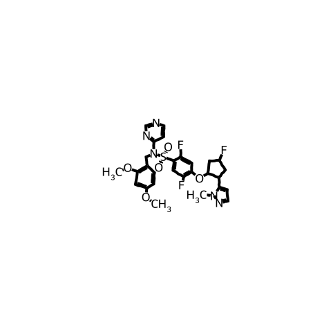 COc1ccc(CN(c2ccncn2)S(=O)(=O)c2cc(F)c(OC3CC(F)CC3c3ccnn3C)cc2F)c(OC)c1